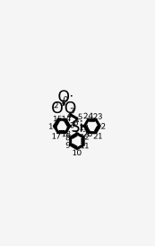 [O]C(=O)OCC[Si](c1ccccc1)(c1ccccc1)c1ccccc1